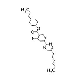 CCCCCCc1cnc(-c2ccc(C(=O)O[C@H]3CC[C@H](CCC)CC3)c(F)c2)nc1